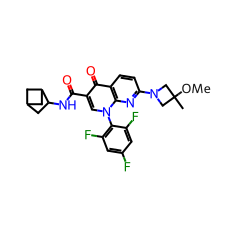 COC1(C)CN(c2ccc3c(=O)c(C(=O)NC4CC5CC4C5)cn(-c4c(F)cc(F)cc4F)c3n2)C1